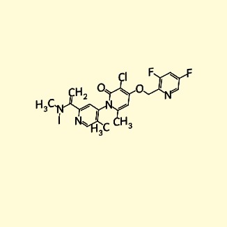 C=C(c1cc(-n2c(C)cc(OCc3ncc(F)cc3F)c(Cl)c2=O)c(C)cn1)N(C)I